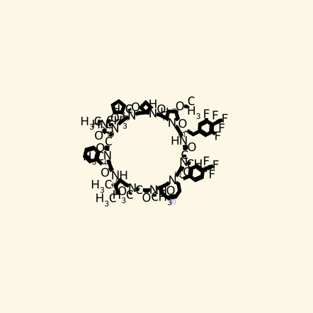 CCO[C@@H]1C[C@H]2C(=O)NC3(CCC3)C(=O)N(C)[C@@H](C3CCCC3)C(=O)N(C)[C@H](C(=O)N(C)C)CC(=O)N(C)[C@@H](Cc3ccccc3)C(=O)N[C@@H]([C@@H](C)CC)C(=O)N(C)CC(=O)N(C)[C@H]3C/C=C\CCN(C3=O)[C@@H](Cc3ccc(C(F)(F)F)cc3)C(=O)N(C)CC(=O)N[C@@H](CCc3cc(F)c(C(F)(F)F)c(F)c3)C(=O)N2C1